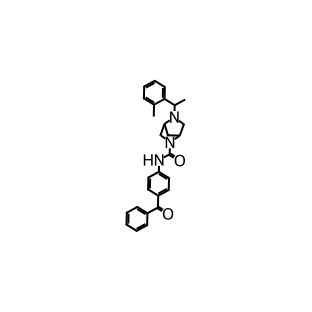 Cc1ccccc1C(C)N1CC2CC1CN2C(=O)Nc1ccc(C(=O)c2ccccc2)cc1